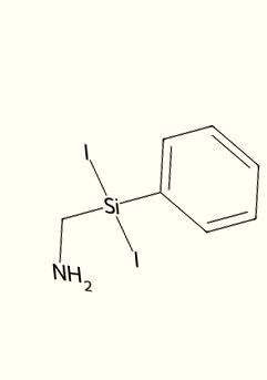 NC[Si](I)(I)c1ccccc1